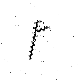 CCCCCCCCOCCCN(CCCN)CCCN